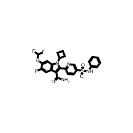 NC(=O)c1c(-c2ccc(S(=O)(=O)Nc3ccccc3)cn2)n(C2CCC2)c2cc(OC(F)F)c(F)cc12